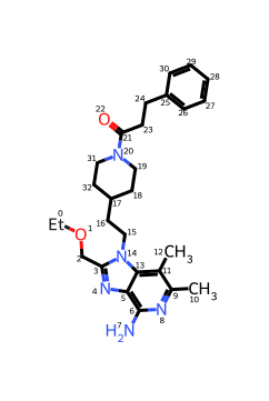 CCOCc1nc2c(N)nc(C)c(C)c2n1CCC1CCN(C(=O)CCc2ccccc2)CC1